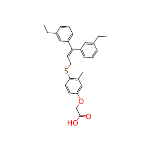 CCc1cccc(C(=CCSc2ccc(OCC(=O)O)cc2C)c2cccc(CC)c2)c1